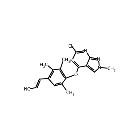 Cc1cc(/C=C/C#N)c(C)c(C)c1Oc1nc(Cl)nc2nn(C)cc12